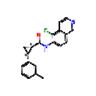 Cc1cccc([C@@H]2C[C@H]2C(=O)Nc2ccc3cnccc3c2F)c1